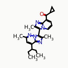 CCC(CC)c1cc(C)nn2c(-c3c(C)nc4c(C(=O)C5CC5)cccn34)c(C)nc12